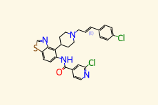 O=C(Nc1ccc2scnc2c1C1CCN(C/C=C/c2ccc(Cl)cc2)CC1)c1ccnc(Cl)c1